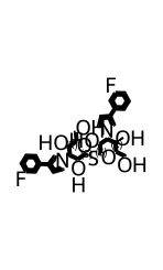 OCC1O[C@@H](S[C@@H]2OC(CO)[C@H](O)C(n3ccc(-c4cccc(F)c4)c3)C2O)C(O)C(n2ccc(-c3cccc(F)c3)c2)[C@H]1O